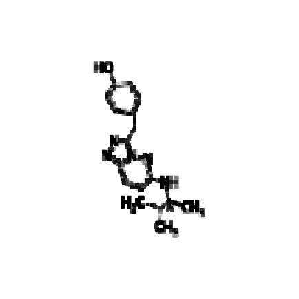 CC(C)[C@H](C)Nc1ccc2nnc(Cc3ccc(O)cc3)n2n1